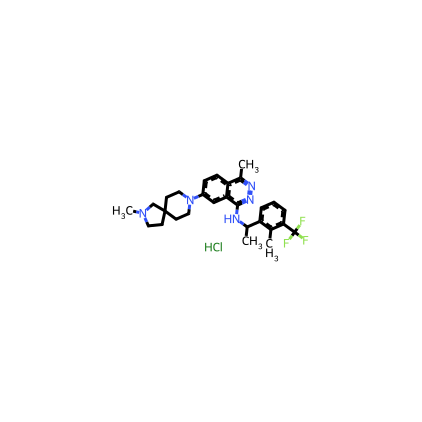 Cc1c(C(C)Nc2nnc(C)c3ccc(N4CCC5(CCN(C)C5)CC4)cc23)cccc1C(F)(F)F.Cl